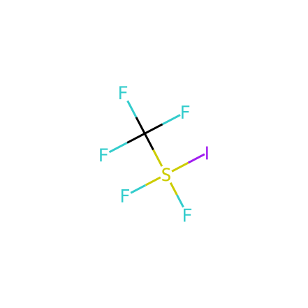 FC(F)(F)S(F)(F)I